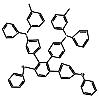 Cc1cccc(N(c2ccccc2)c2ccc(-c3c(Nc4ccccc4)ccc(-c4ccc(Nc5ccccc5)cc4)c3-c3ccc(N(c4ccccc4)c4cccc(C)c4)cc3)cc2)c1